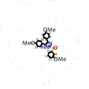 COc1ccc(-c2nc([S+]([O-])c3cccc(OC)c3)[nH]c2-c2ccc(OC)cc2)cc1